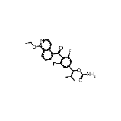 CCOc1nccc2c(C(=O)c3c(F)cc(C(OC(N)=O)C(C)C)cc3F)cccc12